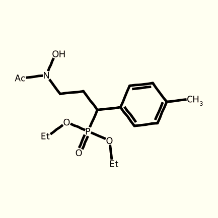 CCOP(=O)(OCC)C(CCN(O)C(C)=O)c1ccc(C)cc1